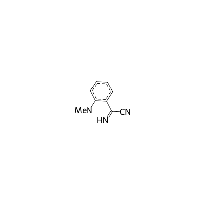 CNc1ccccc1C(=N)C#N